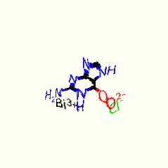 Nc1nc2nc[nH]c2c(=O)[nH]1.[Bi+3].[Cl-].[O-2]